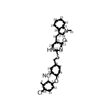 Cc1cc(Oc2ccc(CSc3nc(=O)c(Cc4cn(C)c5ccccc45)c[nH]3)cc2C#N)ccc1Cl